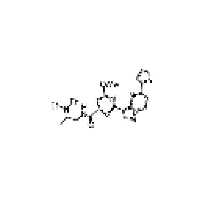 CCN(CC)C(C)CNC(=O)c1cc(OC)nc(-c2cnn3ccc(-c4cccs4)nc23)c1